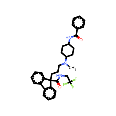 CN(CCCC1(C(=O)NCC(F)(F)F)c2ccccc2-c2ccccc21)C1CCC(NC(=O)c2ccccc2)CC1